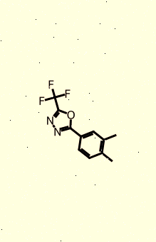 Cc1ccc(-c2nnc(C(F)(F)F)o2)cc1C